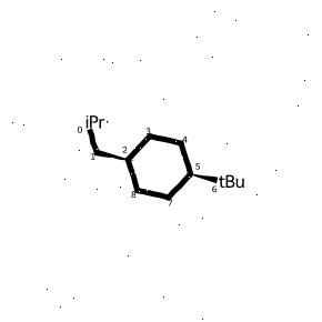 C[C](C)C[C@H]1CC[C@@H](C(C)(C)C)CC1